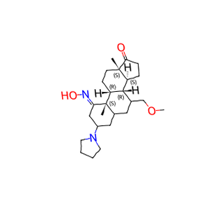 COCC1CC2CC(N3CCCC3)CC(=NO)[C@]2(C)[C@@H]2CC[C@]3(C)C(=O)CC[C@H]3[C@H]12